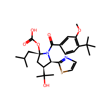 COc1cc(C(=O)N2[C@@H](c3nccs3)[C@@H](C(C)(C)O)C[C@]2(CC(C)C)OC(=O)O)ccc1C(C)(C)C